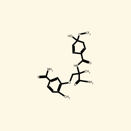 Cc1ccc(C(N)=S)cc1OCC(C)(NC(=O)C1=CCC(O)(OC(F)(F)F)C=C1)C(N)=S